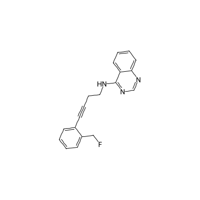 FCc1ccccc1C#CCCNc1ncnc2ccccc12